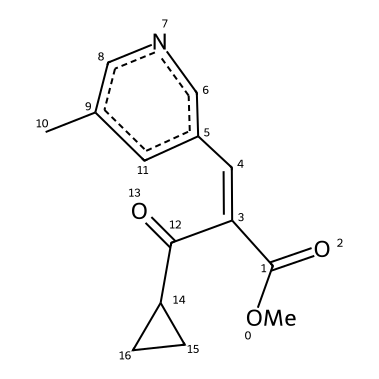 COC(=O)C(=Cc1cncc(C)c1)C(=O)C1CC1